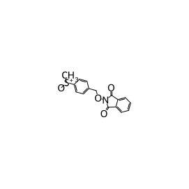 C[S+]([O-])c1ccc(CON2C(=O)c3ccccc3C2=O)cc1